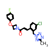 Cc1nnn(Cc2cc(Cl)ccc2C=CC(=O)N2CC(Oc3ccc(F)cc3)C2)n1